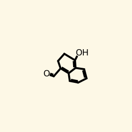 O=CC1=c2ccccc2=C(O)CC1